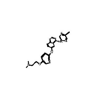 Cc1cnc(Nc2ncnc3ccc(Oc4ccc(OCCN(C)C)cn4)cc23)cn1